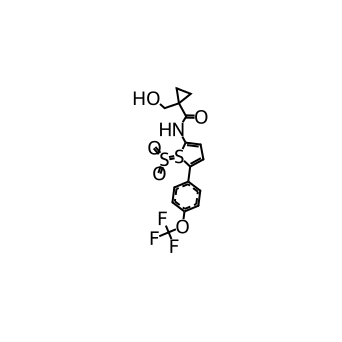 O=C(NC1=CC=C(c2ccc(OC(F)(F)F)cc2)S1=S(=O)=O)C1(CO)CC1